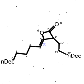 CCCCCCCCCCCCC/C=C1\OC(=O)C1CCCCCCCCCCCC